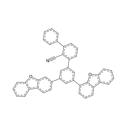 N#Cc1c(-c2ccccc2)cccc1-c1cc(-c2ccc3c(c2)oc2ccccc23)cc(-c2cccc3c2oc2ccccc23)c1